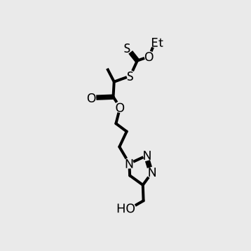 CCOC(=S)SC(C)C(=O)OCCCN1CC(CO)N=N1